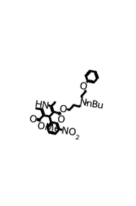 CCCCN(CCCOC(=O)C1=C(C)NC(C)=C(C(=O)OC)C1c1cccc([N+](=O)[O-])c1)CCOc1ccccc1